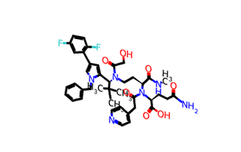 CNC(=O)[C@H](CCN(C(=O)CO)[C@@H](c1cc(-c2cc(F)ccc2F)cn1Cc1ccccc1)C(C)(C)C)N(C(=O)Cc1ccncc1)[C@@H](CCC(N)=O)C(=O)O